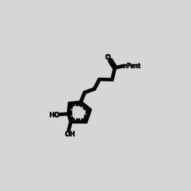 CCCCCC(=O)CCCCc1ccc(O)c(O)c1